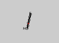 OCCOCCOCCOCCOCCOF